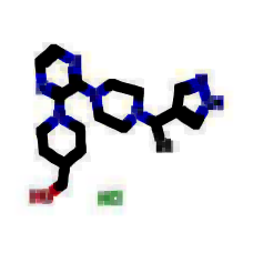 CCC(c1cn[nH]c1)N1CCN(c2nccnc2N2CCC(CO)CC2)CC1.Cl